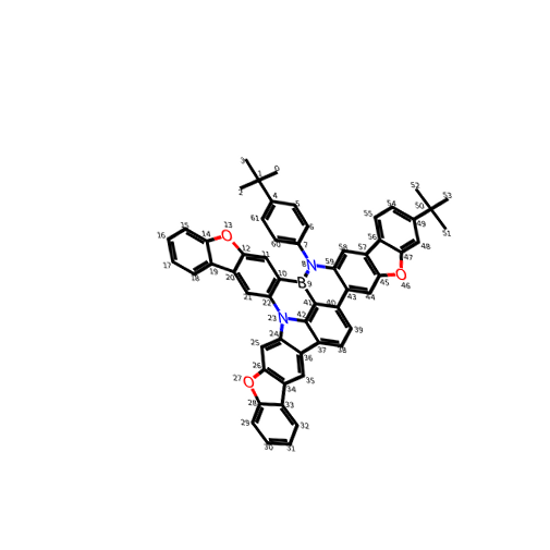 CC(C)(C)c1ccc(N2B3c4cc5oc6ccccc6c5cc4-n4c5cc6oc7ccccc7c6cc5c5ccc(c3c54)-c3cc4oc5cc(C(C)(C)C)ccc5c4cc32)cc1